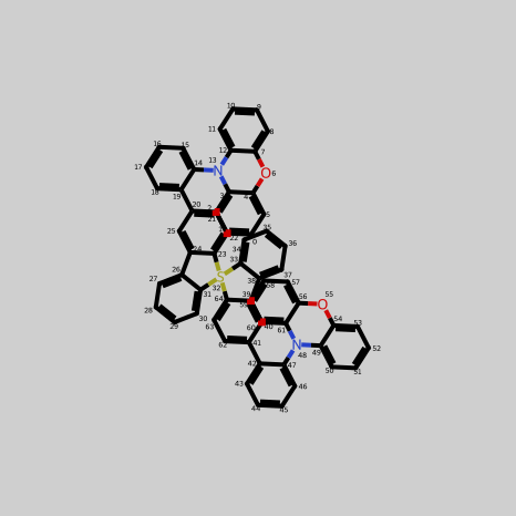 c1ccc2c(c1)Oc1ccccc1N2c1ccccc1-c1ccc2c(c1)-c1ccccc1S21c2ccccc2-c2cc(-c3ccccc3N3c4ccccc4Oc4ccccc43)ccc21